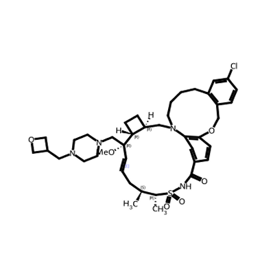 CO[C@@]1(CN2CCN(CC3COC3)CC2)/C=C/C[C@H](C)[C@@H](C)S(=O)(=O)NC(=O)c2ccc3c(c2)N(CCCCc2cc(Cl)ccc2CO3)C[C@@H]2CC[C@H]21